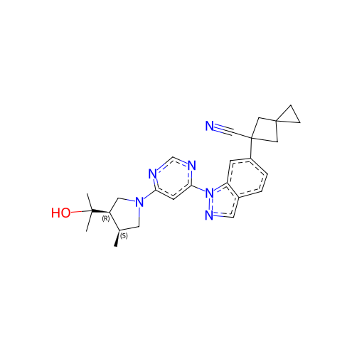 C[C@@H]1CN(c2cc(-n3ncc4ccc(C5(C#N)CC6(CC6)C5)cc43)ncn2)C[C@@H]1C(C)(C)O